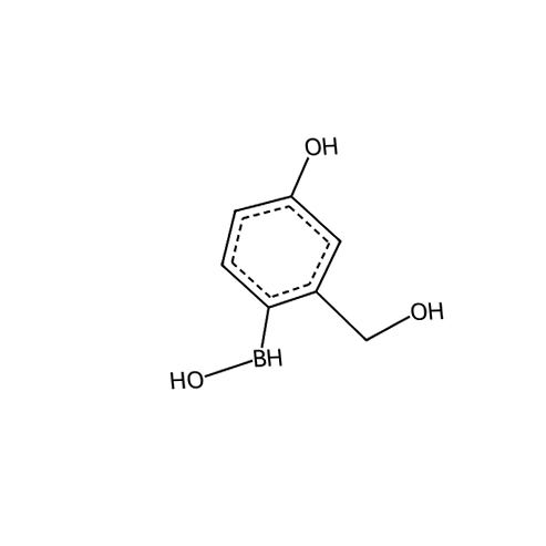 OBc1ccc(O)cc1CO